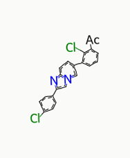 CC(=O)c1cccc(-c2ccc3nc(-c4ccc(Cl)cc4)cn3c2)c1Cl